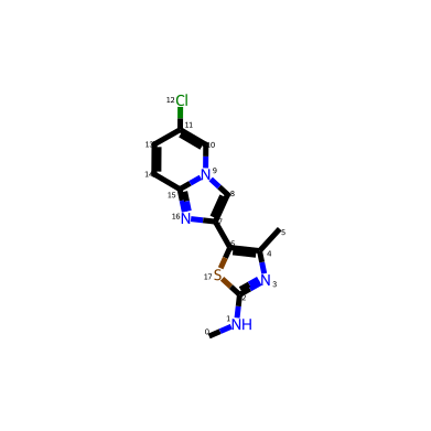 CNc1nc(C)c(-c2cn3cc(Cl)ccc3n2)s1